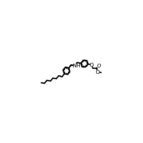 CCCCCCCCc1ccc(CNCc2ccc(OCC(=O)OC)cc2)cc1